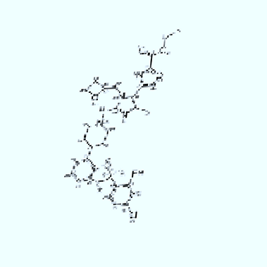 CCOC(=O)c1nc(-c2c(C)nc(CN3CCC(c4cccc5c4O[C@@](C)(c4ccc(Cl)cc4F)O5)CC3)n2C[C@@H]2CCO2)co1